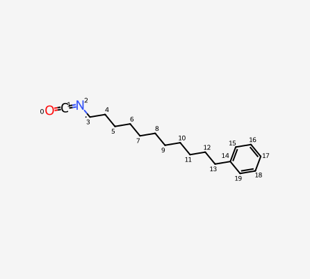 O=C=N[CH]CCCCCCCCCCc1ccccc1